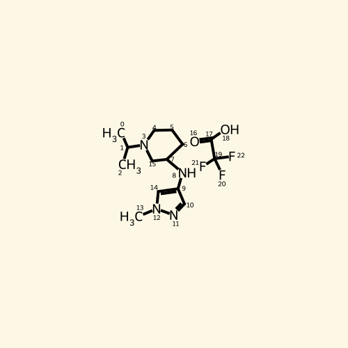 CC(C)N1CCCC(Nc2cnn(C)c2)C1.O=C(O)C(F)(F)F